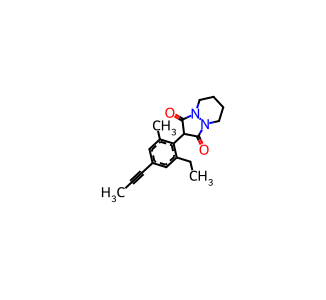 CC#Cc1cc(C)c(C2C(=O)N3CCCCN3C2=O)c(CC)c1